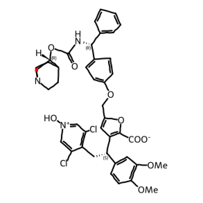 COc1ccc([C@H](Cc2c(Cl)c[n+](O)cc2Cl)c2cc(COc3ccc([C@H](NC(=O)O[C@H]4CN5CCC4CC5)c4ccccc4)cc3)oc2C(=O)[O-])cc1OC